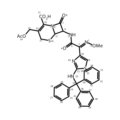 CON=C(C(=O)NC1C(=O)N2C(C(=O)O)=C(COC(C)=O)CSC12)c1csc(NC(c2ccccc2)(c2ccccc2)c2ccccc2)n1